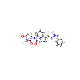 O=C1CCC(N2C(=O)c3ccc(C4CCN(Cc5ccccc5)C4)c4cccc2c34)C(=O)N1I